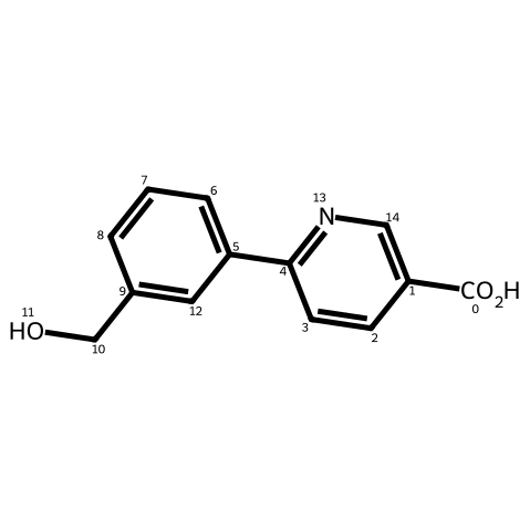 O=C(O)c1ccc(-c2cccc(CO)c2)nc1